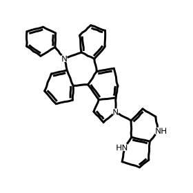 C1=CC2=C(NC1)C(n1ccc3c4c(ccc31)-c1ccccc1N(c1ccccc1)c1ccccc1-4)=CCN2